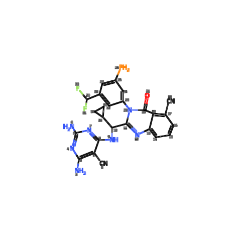 N#Cc1c(N)nc(N)nc1NC(c1nc2cccc(C#N)c2c(=O)n1-c1cc(P)cc(C(F)F)c1)C1CC1